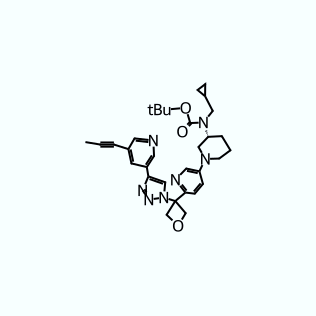 CC#Cc1cncc(-c2cn(C3(c4ccc(N5CCC[C@@H](N(CC6CC6)C(=O)OC(C)(C)C)C5)cn4)COC3)nn2)c1